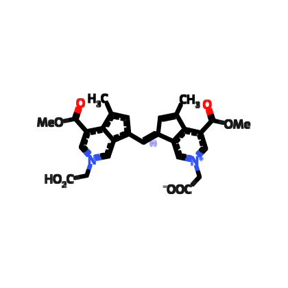 COC(=O)c1c[n+](CC(=O)[O-])cc2c1C(C)=C/C2=C\c1cc(C)c2c(C(=O)OC)cn(CC(=O)O)cc1-2